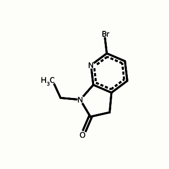 CCN1C(=O)Cc2ccc(Br)nc21